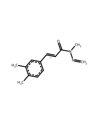 C=NN(C)C(=O)/C=C/c1ccc(C)c(C)c1